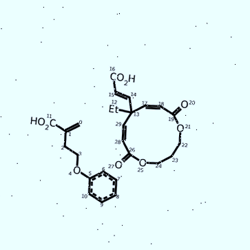 C=C(CCOc1ccccc1)C(=O)O.CCC1(C=CC(=O)O)C=CC(=O)OCCCOC(=O)C=C1